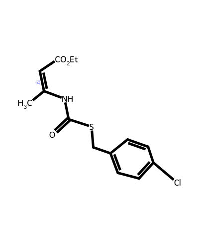 CCOC(=O)/C=C(/C)NC(=O)SCc1ccc(Cl)cc1